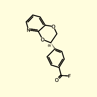 O=C(F)c1ccc([C@H]2COc3cccnc3O2)cc1